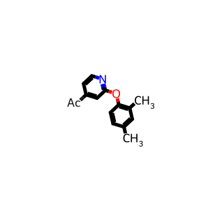 CC(=O)c1ccnc(Oc2ccc(C)cc2C)c1